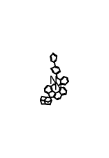 c1ccc(-c2ccc(-c3nc(-c4cccc5c4-c4c(ccc6ccccc46)C54C5CC6CC(C5)CC4C6)nc4ccccc34)cc2)cc1